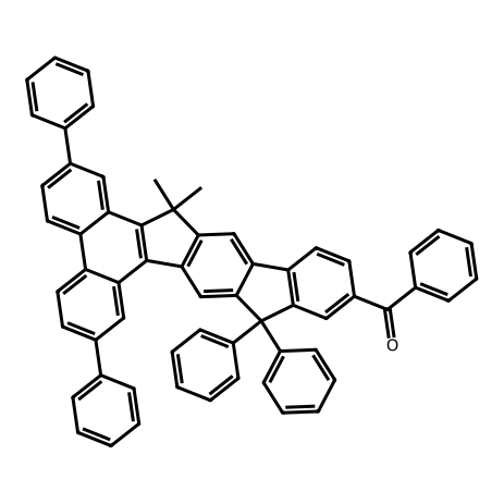 CC1(C)c2cc3c(cc2-c2c1c1cc(-c4ccccc4)ccc1c1ccc(-c4ccccc4)cc21)C(c1ccccc1)(c1ccccc1)c1cc(C(=O)c2ccccc2)ccc1-3